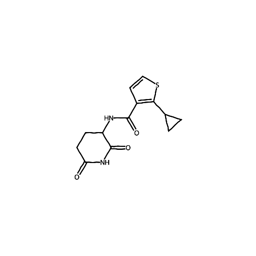 O=C1CCC(NC(=O)c2ccsc2C2CC2)C(=O)N1